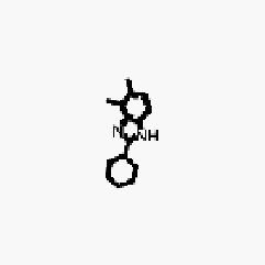 Cc1ccc2[nH]c(C3CCCCC3)nc2c1C